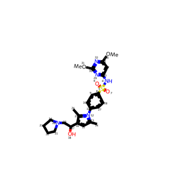 COc1cc(NS(=O)(=O)c2ccc(-n3c(C)cc(C(O)CN4CCCC4)c3C)cc2)nc(OC)n1